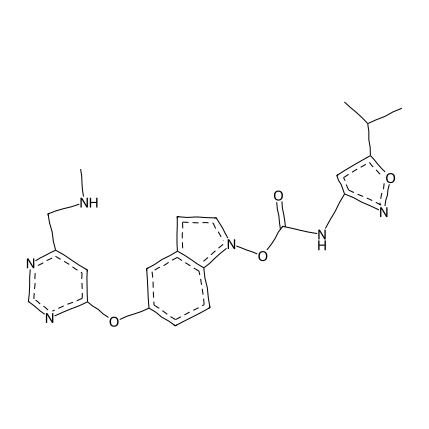 CNCc1cc(Oc2ccc3c(ccn3OC(=O)Nc3cc(C(C)C)on3)c2)ncn1